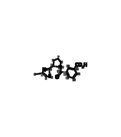 Cc1csc(C2CCCN2C(=O)c2cccc(C(=O)O)c2)n1